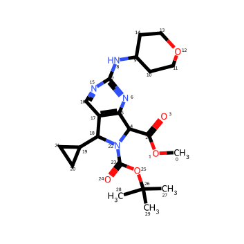 COC(=O)C1c2nc(NC3CCOCC3)ncc2C(C2CC2)N1C(=O)OC(C)(C)C